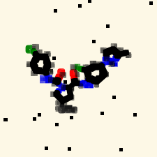 CO[C@@H]1C[C@H](C(=O)Nc2ccc(-n3ccc(C)n3)cc2F)N(C(=O)Nc2ccc(Cl)cc2)C1